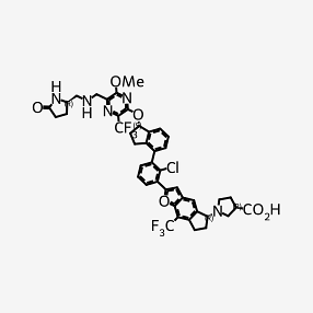 COc1nc(O[C@H]2CCc3c(-c4cccc(-c5cc6cc7c(c(C(F)(F)F)c6o5)CC[C@H]7N5CC[C@@H](C(=O)O)C5)c4Cl)cccc32)c(C(F)(F)F)nc1CNC[C@H]1CCC(=O)N1